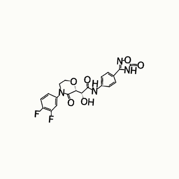 O=C(Nc1ccc(-c2noc(=O)[nH]2)cc1)[C@H](O)[C@H]1OCCN(c2ccc(F)c(F)c2)C1=O